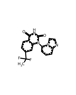 CC(F)(F)c1ccc2c(=O)[nH]c(=O)n(-c3cccc4nccn34)c2c1